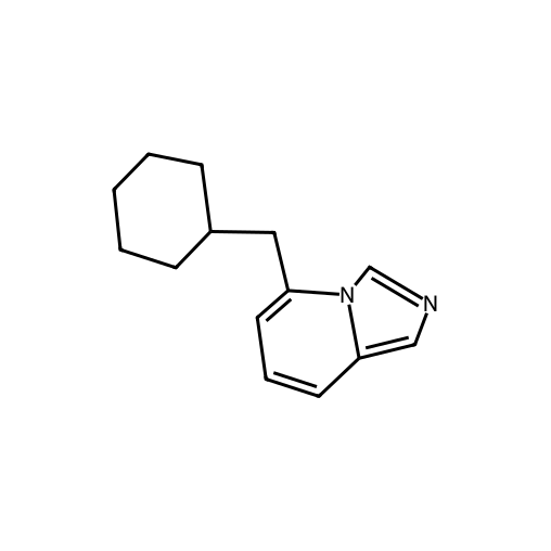 c1cc(CC2CCCCC2)n2cncc2c1